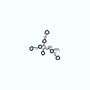 O=[N+]([O-])c1cc([C@@H](O)CN(Cc2ccccc2)CC(c2ccc(OCc3ccccc3)cc2)c2ccc(OCc3ccccc3)cc2)ccc1OCc1ccccc1